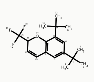 CC(C)(C)c1cc2c(c(C(C)(C)C)c1)OC(C(F)(F)F)C=C2